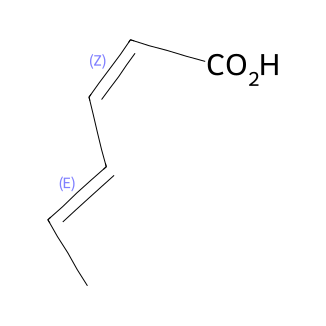 C/C=C/C=C\C(=O)O